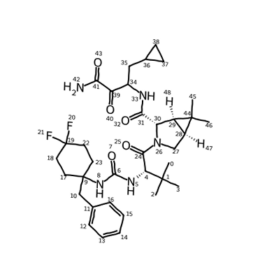 CC(C)(C)[C@H](NC(=O)NC1(Cc2ccccc2)CCC(F)(F)CC1)C(=O)N1C[C@H]2[C@@H]([C@H]1C(=O)NC(CC1CC1)C(=O)C(N)=O)C2(C)C